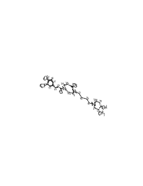 CC1CN(CCCCN2CCN(C(=O)/C=C/c3ccc(Cl)c(Cl)c3)CCC2=O)CCC1O